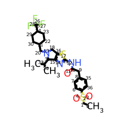 CCS(=O)(=O)c1ccc(CC(=O)Nc2nc3c(s2)CN(CC2CCC(C(F)(F)F)CC2)C3C(C)C)cc1